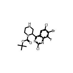 CC(C)(C)OC(=O)N1CCNCC1c1nc(Cl)nc2c(F)c(Br)c(Cl)cc12